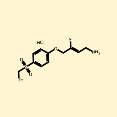 CC(C)CS(=O)(=O)c1ccc(OC/C(F)=C/CN)cc1.Cl